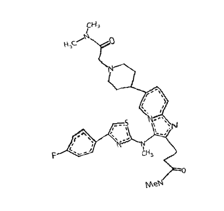 CNC(=O)CCc1nc2ccc(C3CCN(CC(=O)N(C)C)CC3)cn2c1N(C)c1nc(-c2ccc(F)cc2)cs1